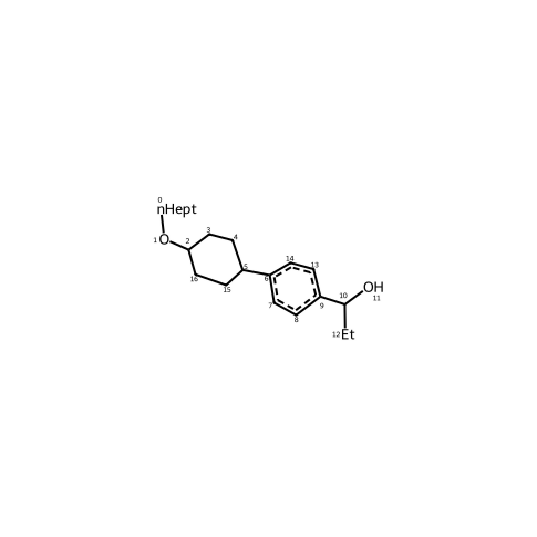 CCCCCCCOC1CCC(c2ccc(C(O)CC)cc2)CC1